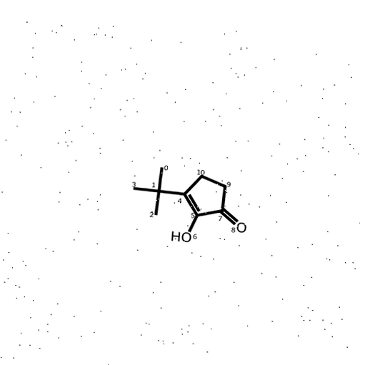 CC(C)(C)C1=C(O)C(=O)CC1